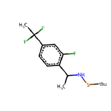 CC(NSC(C)(C)C)c1ccc(C(C)(F)F)cc1F